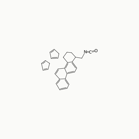 C1=CCC=C1.C1=CCC=C1.O=C=NCC1CCCc2c1ccc1c2ccc2ccccc21